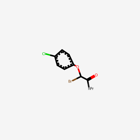 CCCC(=O)C(Br)Oc1ccc(Cl)cc1